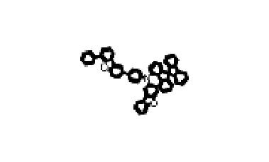 c1ccc(-c2cccc3c2oc2ccc(-c4ccc(N(c5ccc6oc7ccccc7c6c5)c5cccc6c5-c5ccccc5C65c6ccccc6-c6ccccc65)cc4)cc23)cc1